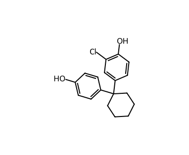 Oc1ccc(C2(c3ccc(O)c(Cl)c3)CCCCC2)cc1